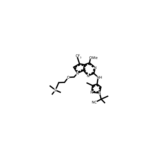 COc1nc(Nc2cn(C(C)(C)C#N)nc2C)nc2c1c(C(F)(F)F)cn2COCC[Si](C)(C)C